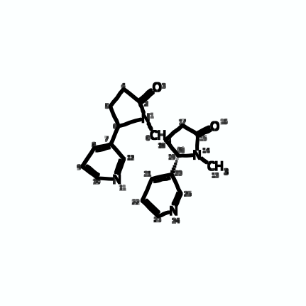 CN1C(=O)CCC1c1cccnc1.CN1C(=O)CC[C@H]1c1cccnc1